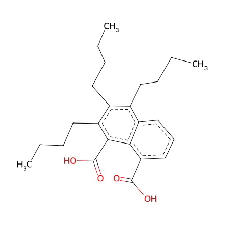 CCCCc1c(CCCC)c(C(=O)O)c2c(C(=O)O)cccc2c1CCCC